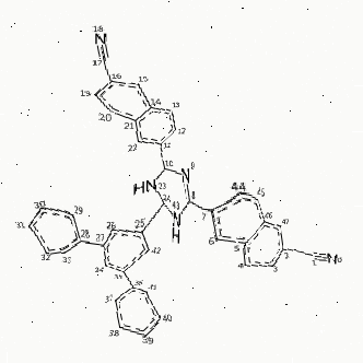 N#Cc1ccc2cc(C3=NC(c4ccc5cc(C#N)ccc5c4)NC(c4cc(-c5ccccc5)cc(-c5ccccc5)c4)N3)ccc2c1